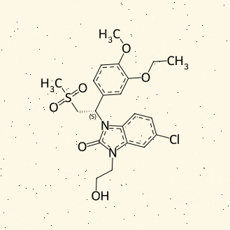 CCOc1cc([C@@H](CS(C)(=O)=O)n2c(=O)n(CCO)c3cc(Cl)ccc32)ccc1OC